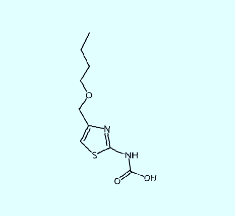 CCCCOCc1csc(NC(=O)O)n1